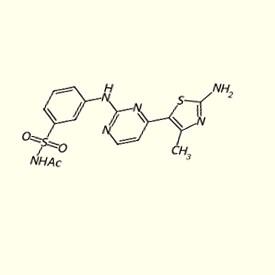 CC(=O)NS(=O)(=O)c1cccc(Nc2nccc(-c3sc(N)nc3C)n2)c1